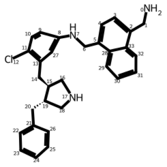 NCc1ccc(CNc2ccc(Cl)c(C[C@H]3CNC[C@@H]3Cc3ccccc3)c2)c2ccccc12